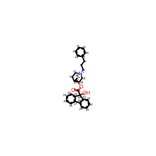 O=C(OC1C[N+]2(CCCc3ccccc3)CCC1CC2)C1(O)c2ccccc2-c2ccccc21